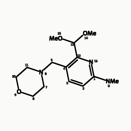 CNc1ccc(CN2CCOCC2)c(C(OC)OC)n1